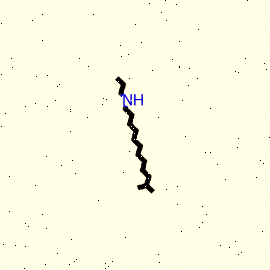 CCCNCCCCCCCCCCC(C)C